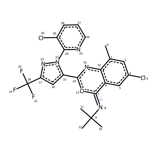 Cc1cc(Cl)cc2/c(=N/C(C)(C)C)oc(-c3cc(C(F)(F)F)nn3-c3ncccc3Cl)nc12